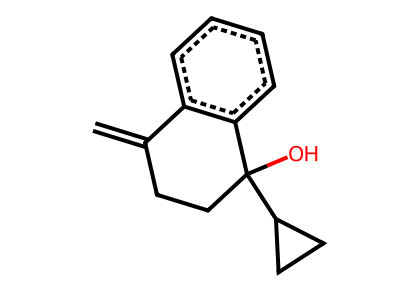 C=C1CCC(O)(C2CC2)c2ccccc21